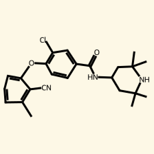 Cc1cccc(Oc2ccc(C(=O)NC3CC(C)(C)NC(C)(C)C3)cc2Cl)c1C#N